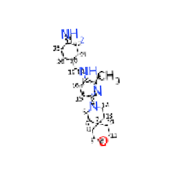 Cc1nc(N2CCC3(CCOCC3)CC2)ccc1NC[C@H]1CC[C@H](N)CC1